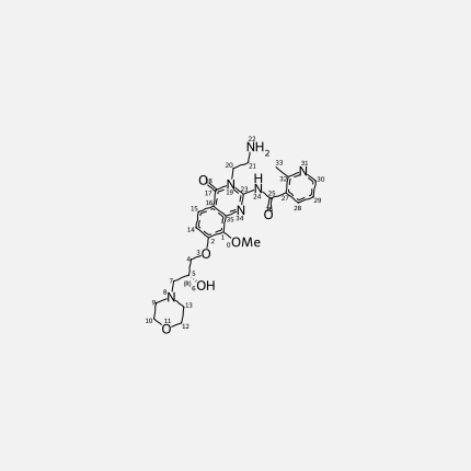 COc1c(OC[C@H](O)CN2CCOCC2)ccc2c(=O)n(CCN)c(NC(=O)c3cccnc3C)nc12